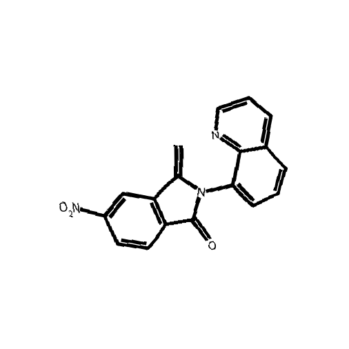 C=C1c2cc([N+](=O)[O-])ccc2C(=O)N1c1cccc2cccnc12